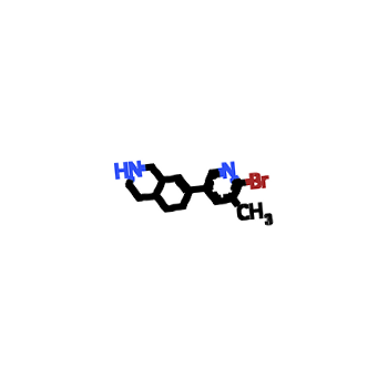 Cc1cc(C2=CC3CNCCC3CC2)cnc1Br